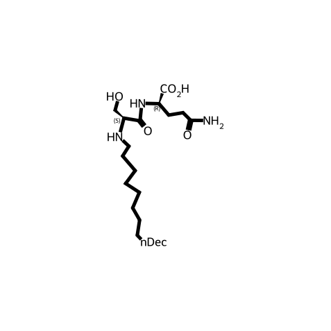 CCCCCCCCCCCCCCCCCCN[C@@H](CO)C(=O)N[C@H](CCC(N)=O)C(=O)O